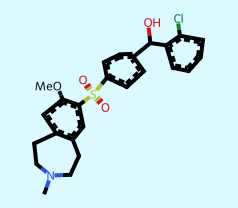 COc1cc2c(cc1S(=O)(=O)c1ccc(C(O)c3ccccc3Cl)cc1)CCN(C)CC2